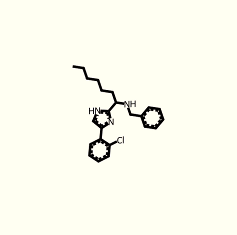 CCCCCCC(NCc1ccccc1)c1nc(-c2ccccc2Cl)c[nH]1